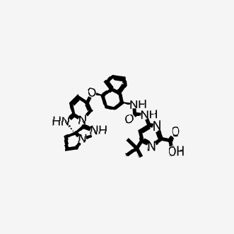 CN1CCC[C@@]1(C)C(=N)n1cc(O[C@@H]2CC[C@H](NC(=O)Nc3cc(C(C)(C)C)nc(C(=O)O)n3)c3ccccc32)ccc1=N